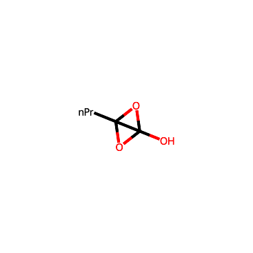 C[CH]CC12OC1(O)O2